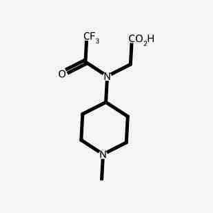 CN1CCC(N(CC(=O)O)C(=O)C(F)(F)F)CC1